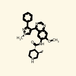 COc1cc2ncnc(-c3cn(C)nc3-c3ccccc3)c2cc1NC(=O)[C@H]1CCNC[C@@H]1F